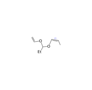 C=COC(CC)O/C=C\C